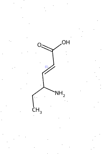 CCC(N)/C=C/C(=O)O